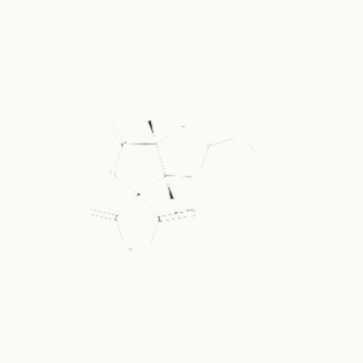 COC1C[C@H]2C(=O)NC(C(=O)O)(C(=O)O)[C@@]2(C)O1